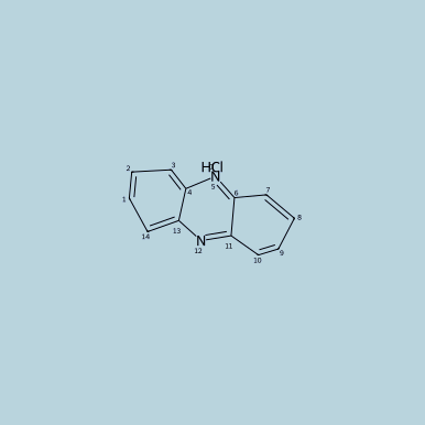 Cl.c1ccc2nc3ccccc3nc2c1